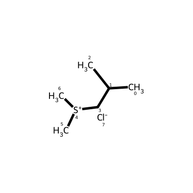 CC(C)C[S+](C)C.[Cl-]